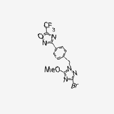 COc1nc(Br)nn1Cc1ccc(-c2noc(C(F)(F)F)n2)cc1